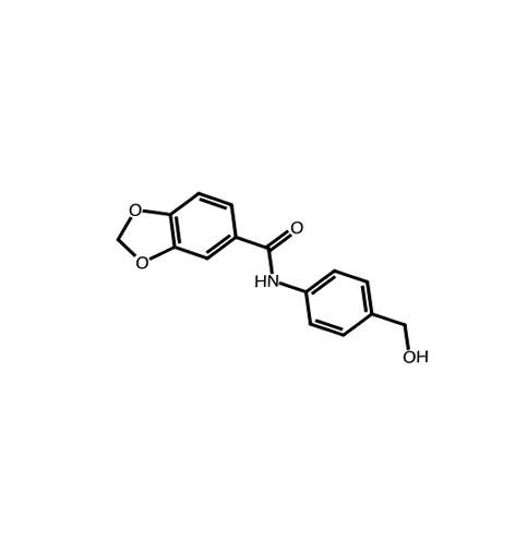 O=C(Nc1ccc(CO)cc1)c1ccc2c(c1)OCO2